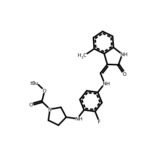 Cc1cccc2c1/C(=C/Nc1ccc(NC3CCN(C(=O)OC(C)(C)C)C3)c(F)c1)C(=O)N2